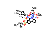 COc1ccc(CN(Cc2ccc(OC)cc2)S(=O)(=O)c2c(S(=O)(=O)CC[Si](C)(C)C)ccc(-c3cccc4c3nc(N(C(=O)OC(C)(C)C)C(=O)OC(C)(C)C)n4C(=O)OC(C)(C)C)c2-c2nnn(Cc3ccc(OC)cc3)n2)cc1